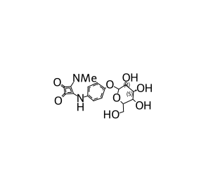 CNc1c(Nc2ccc(OC3OC(CO)C(O)[C@H](O)[C@H]3O)cc2)c(=O)c1=O